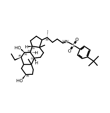 CC[C@@H]1C2C[C@H](O)CCC2(C)[C@H]2CCC3(C)C([C@H](C)CCCNS(=O)(=O)c4ccc(C(C)(C)C)cc4)CC[C@H]3[C@@H]2[C@@H]1O